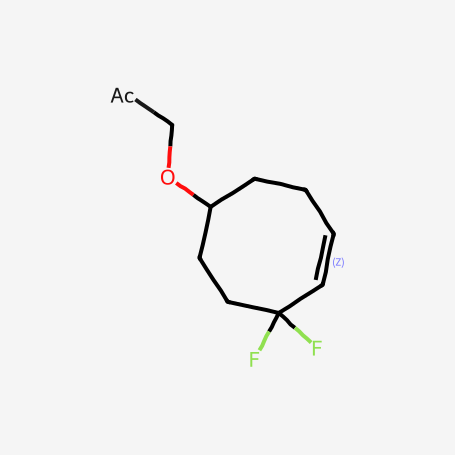 CC(=O)COC1CC/C=C\C(F)(F)CC1